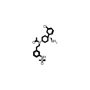 C=S(C)(=O)Nc1cccc(CCN(C(C)=O)[C@H]2CC[C@](CN)(C3C=CC=C(Cl)C3)CC2)c1